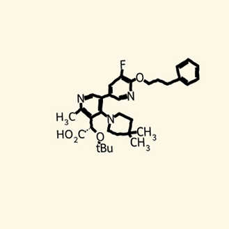 Cc1ncc(-c2cnc(OCCCc3ccccc3)c(F)c2)c(N2CCC(C)(C)CC2)c1[C@H](OC(C)(C)C)C(=O)O